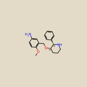 COc1ccc(N)cc1CO[C@@H]1CCCN[C@@H]1c1ccccc1